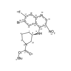 CC(C)(C)OC(=O)N1CCC[C@@H](Nc2c([N+](=O)[O-])cnc3cc(F)c(Br)cc23)C1